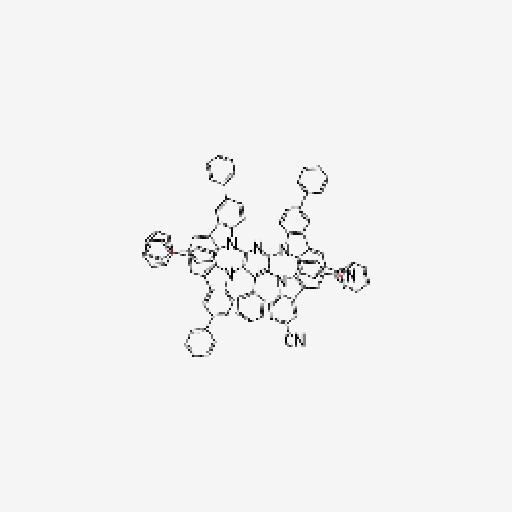 N#Cc1ccc2c(c1)c1cc(C#N)ccc1n2-c1c(-n2c3ccc(-c4ccccc4)cc3c3cc(-c4ccccc4)ccc32)nc(-n2c3ccc(-c4ccccc4)cc3c3cc(-c4ccccc4)ccc32)c(-n2c3ccc(-c4ccccc4)cc3c3cc(-c4ccccc4)ccc32)c1-c1ccccc1